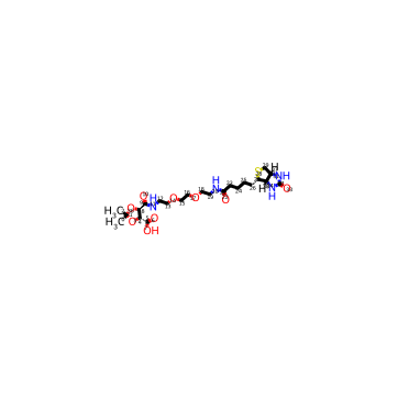 CC1(C)O[C@@H](C(=O)O)[C@H](C(=O)NCCOCCOCCNC(=O)CCCC[C@@H]2SC[C@@H]3NC(=O)N[C@@H]32)O1